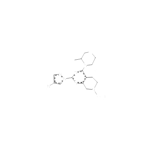 CC1COCCN1c1nc(-n2cc([N+](=O)[O-])cn2)nc2c1[C@H](C(C)(C)C)CN(C(=O)O)C2